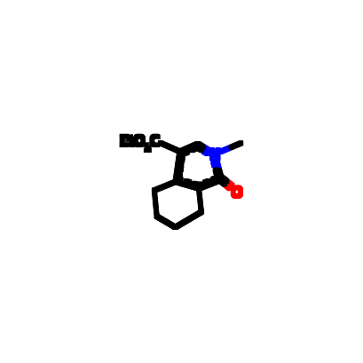 CCOC(=O)c1cn(C)c(=O)c2c1CCCC2